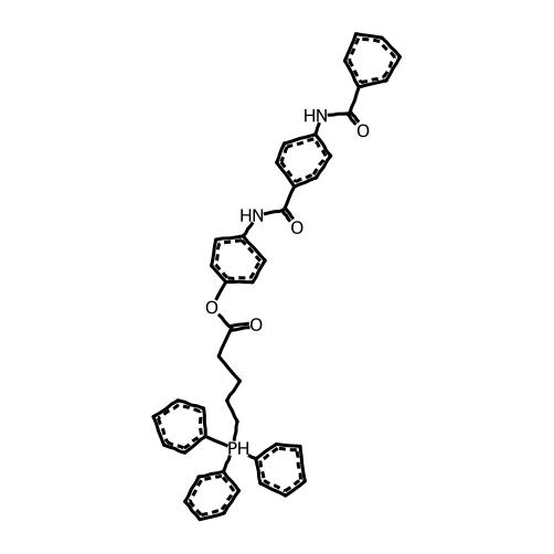 O=C(CCCC[PH](c1ccccc1)(c1ccccc1)c1ccccc1)Oc1ccc(NC(=O)c2ccc(NC(=O)c3ccccc3)cc2)cc1